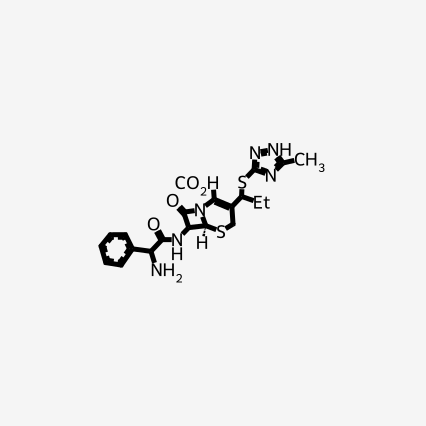 CCC(Sc1n[nH]c(C)n1)C1=C(C(=O)O)N2C(=O)C(NC(=O)C(N)c3ccccc3)[C@@H]2SC1